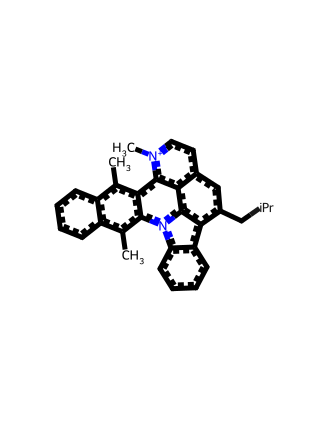 Cc1c2ccccc2c(C)c2c1c1c3c(cc[n+]1C)cc(CC(C)C)c1c4ccccc4n2c13